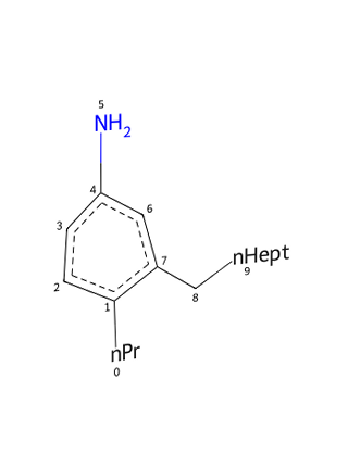 [CH2]CCc1ccc(N)cc1CCCCCCCC